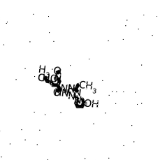 CCCCCC(CN(O)C=O)C(=O)NNc1nc(CC)nc(N2CCC[C@@H](O)C2)n1